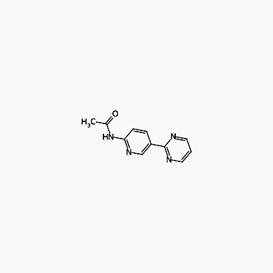 CC(=O)Nc1ccc(-c2ncccn2)cn1